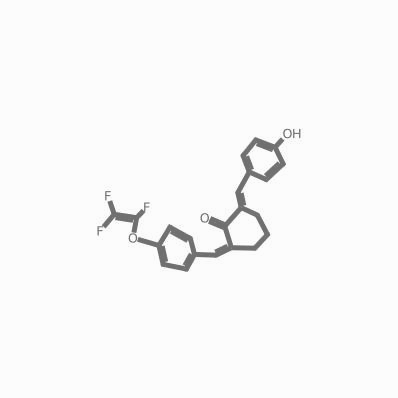 O=C1C(=Cc2ccc(O)cc2)CCCC1=Cc1ccc(OC(F)=C(F)F)cc1